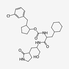 O=C(NC(CC1CCCCC1)C(=O)NC(CO)CC1CCNC1=O)OC1CCCC1Cc1cccc(Cl)c1